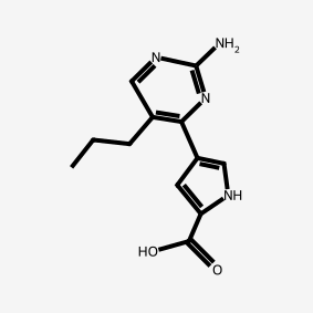 CCCc1cnc(N)nc1-c1c[nH]c(C(=O)O)c1